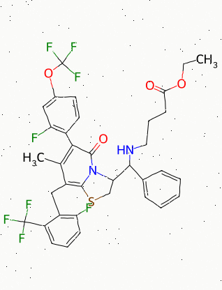 CCOC(=O)CCCNC(c1ccccc1)C1CSc2c(Cc3c(F)cccc3C(F)(F)F)c(C)c(-c3ccc(OC(F)(F)F)cc3F)c(=O)n21